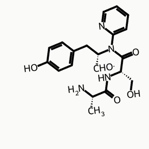 C[C@H](N)C(=O)N[C@@H](CO)C(=O)N(c1ccccn1)[C@H]([C]=O)Cc1ccc(O)cc1